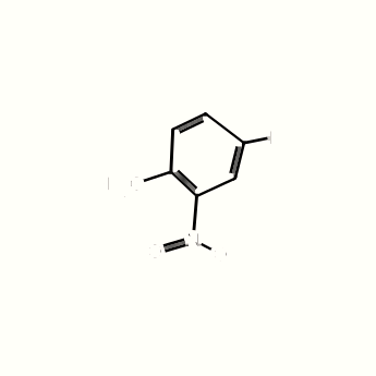 [CH2]c1ccc(I)cc1[N+](=O)[O-]